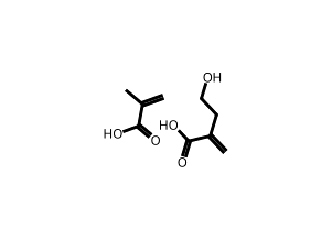 C=C(C)C(=O)O.C=C(CCO)C(=O)O